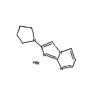 Br.c1cnc2nc(N3CCCC3)cn2c1